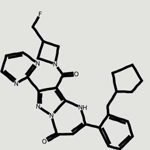 O=C(c1c(-c2ncccn2)nn2c(=O)cc(-c3ccccc3CC3CCCC3)[nH]c12)N1CC(CF)C1